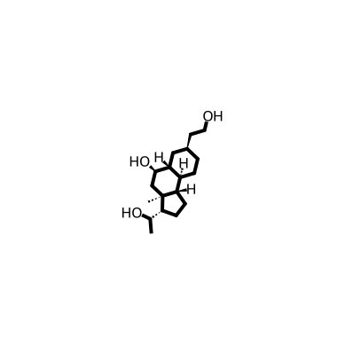 CC(O)[C@H]1CC[C@H]2[C@@H]3CC[C@H](CCO)C[C@H]3[C@H](O)C[C@]12C